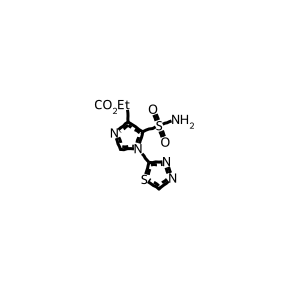 CCOC(=O)c1ncn(-c2nncs2)c1S(N)(=O)=O